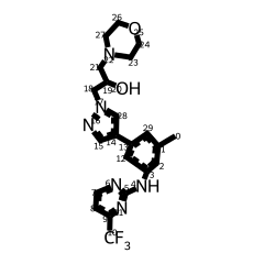 Cc1cc(Nc2nccc(C(F)(F)F)n2)cc(-c2cnn(CC(O)CN3CCOCC3)c2)c1